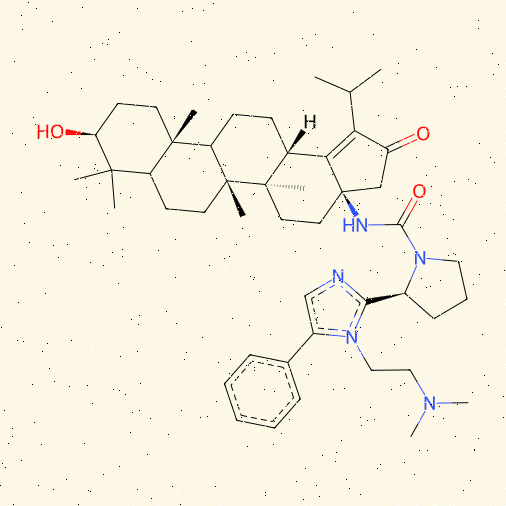 CC(C)C1=C2[C@H]3CCC4[C@@]5(C)CC[C@H](O)C(C)(C)C5CC[C@@]4(C)[C@]3(C)CC[C@@]2(NC(=O)N2CCC[C@H]2c2ncc(-c3ccccc3)n2CCN(C)C)CC1=O